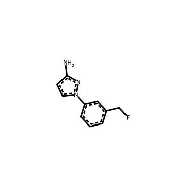 Nc1ccn(-c2cccc(CF)c2)n1